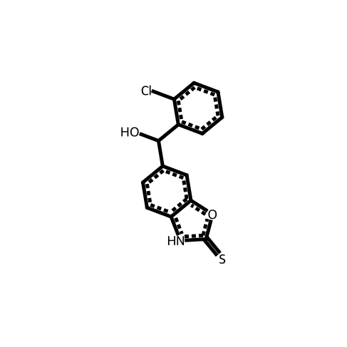 OC(c1ccc2[nH]c(=S)oc2c1)c1ccccc1Cl